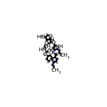 CC/C=C(\C=C/CC/N=C1/C=C(OC2COC3C(O)CO[C@H]23)N/C1=C/C(C)F)N1CCC(OC(=O)NC)CC1